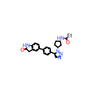 CCC(=O)N[C@H]1CC[C@@H](n2nncc2-c2ccc(-c3ccc4c(c3)CC(=O)N4)cc2)C1